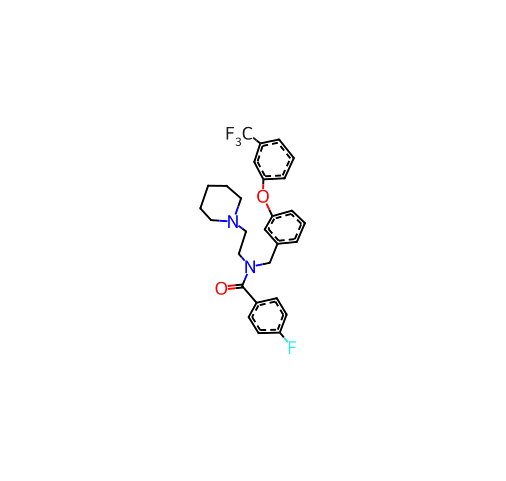 O=C(c1ccc(F)cc1)N(CCN1CCCCC1)Cc1cccc(Oc2cccc(C(F)(F)F)c2)c1